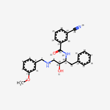 COc1cccc(CNC[C@H](O)[C@H](Cc2ccccc2)NC(=O)c2cccc(C#N)c2)c1